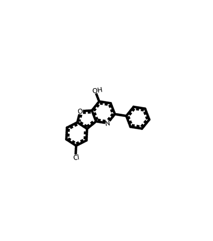 Oc1cc(-c2ccccc2)nc2c1oc1ccc(Cl)cc12